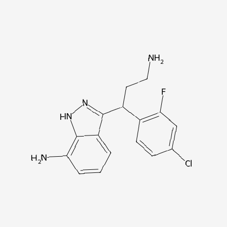 NCCC(c1ccc(Cl)cc1F)c1n[nH]c2c(N)cccc12